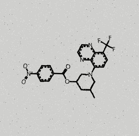 CC1CC(OC(=O)c2ccc([N+](=O)[O-])cc2)CN(c2ccc(C(F)(F)F)c3nccnc23)C1